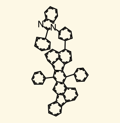 c1ccc(-c2c3cc4c5ccccc5c5cccc(c3c(-c3ccccc3)c3c6ccc(-c7cccc(-n8c(-c9ccccc9)nc9ccccc98)c7)c7cccc(c23)c76)c54)cc1